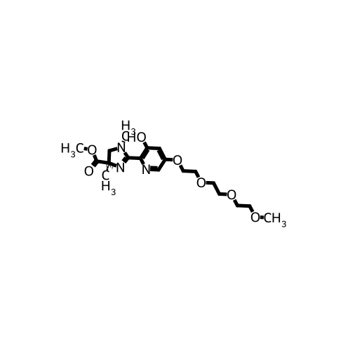 COCCOCCOCCOc1cnc(C2=N[C@@](C)(C(=O)OC)CN2C)c(O)c1